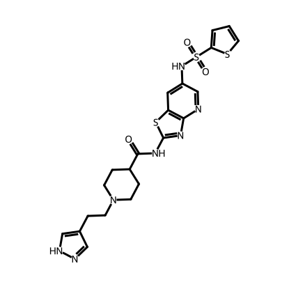 O=C(Nc1nc2ncc(NS(=O)(=O)c3cccs3)cc2s1)C1CCN(CCc2cn[nH]c2)CC1